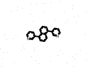 c1cncc(-c2cccc3c(-c4cccnc4)cccc23)c1